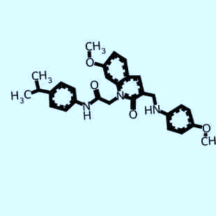 COc1ccc(NCc2cc3ccc(OC)cc3n(CC(=O)Nc3ccc(C(C)C)cc3)c2=O)cc1